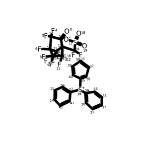 O=C1C(F)(F)C2(F)C(F)(F)C(F)(F)C1(C(F)(F)S(=O)(=O)[O-])C2(C(F)(F)F)C(F)(F)F.c1ccc([S+](c2ccccc2)c2ccccc2)cc1